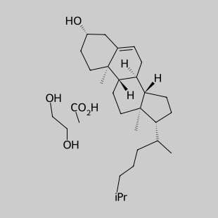 CC(=O)O.CC(C)CCCC(C)[C@H]1CC[C@H]2[C@@H]3CC=C4C[C@@H](O)CC[C@]4(C)[C@H]3CC[C@]12C.OCCO